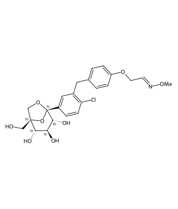 CON=CCOc1ccc(Cc2cc([C@]34OC[C@](CO)(O3)[C@@H](O)[C@H](O)[C@H]4O)ccc2Cl)cc1